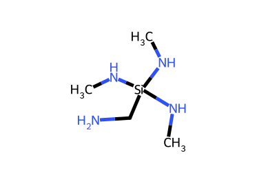 CN[Si](CN)(NC)NC